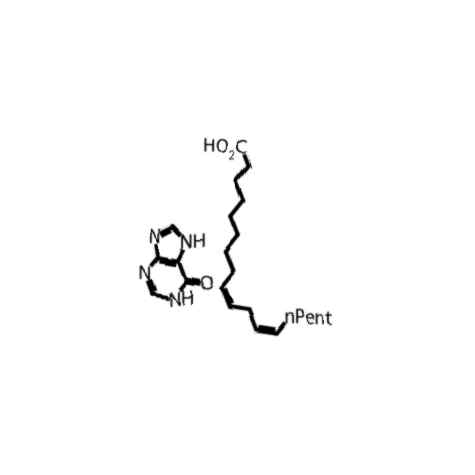 CCCCC/C=C\C/C=C\CCCCCCCC(=O)O.O=c1[nH]cnc2nc[nH]c12